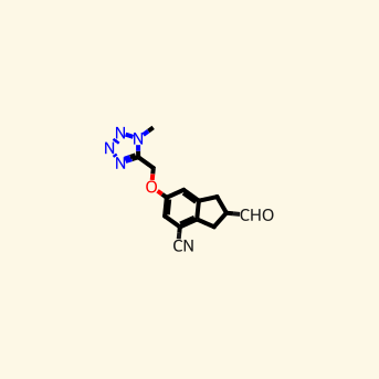 Cn1nnnc1COc1cc(C#N)c2c(c1)CC(C=O)C2